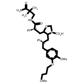 COCCCOc1cc(C[C@H](CC2C(C[C@H](C(=O)NCC(C)(C)C(N)=O)C(C)C)OCN2C(=O)O)C(C)C)ccc1OC